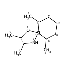 CCN[Si]1(OCC)C(C)CCCC1C